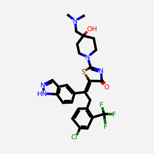 CN(C)CC1(O)CCN(C2=NC(=O)C(=C(Cc3ccc(Cl)cc3C(F)(F)F)c3ccc4[nH]ncc4c3)S2)CC1